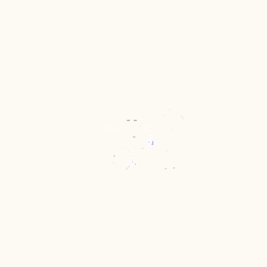 O=C(NC(Cc1ccccc1)(c1cc(F)cc(OCC(F)(F)C(F)F)c1)c1ccc(Cl)cn1)c1ccc(F)c(C(F)(F)F)c1